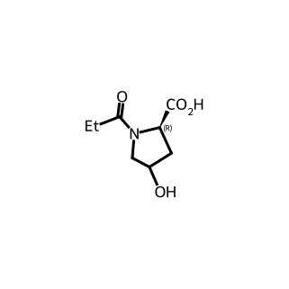 CCC(=O)N1CC(O)C[C@@H]1C(=O)O